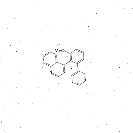 COc1cccc(-c2ccccc2)c1-c1cccc2ccccc12